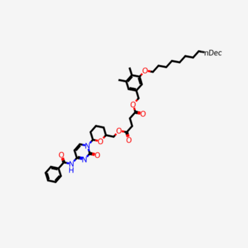 CCCCCCCCCCCCCCCCCCOc1cc(COC(=O)CCC(=O)OCC2CCCC(n3ccc(NC(=O)c4ccccc4)nc3=O)O2)cc(C)c1C